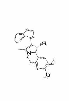 COc1cc2c(cc1OC)-c1c(C#N)c(-c3ccnc4ccccc34)c(C)n1CC2